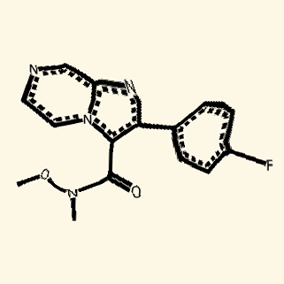 CON(C)C(=O)c1c(-c2ccc(F)cc2)nc2cnccn12